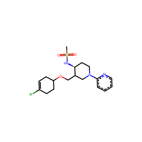 CS(=O)(=O)N[C@H]1CCN(c2ccccn2)CC1COC1CC=C(Br)CC1